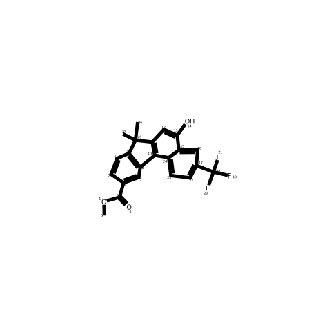 COC(=O)c1ccc2c(c1)-c1c(cc(O)c3cc(C(F)(F)F)ccc13)C2(C)C